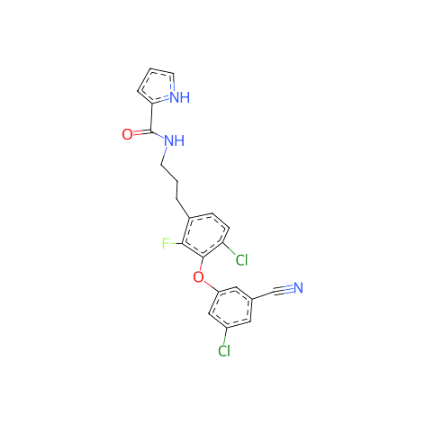 N#Cc1cc(Cl)cc(Oc2c(Cl)ccc(CCCNC(=O)c3ccc[nH]3)c2F)c1